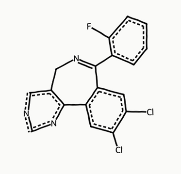 Fc1ccccc1C1=NCc2cncnc2-c2cc(Cl)c(Cl)cc21